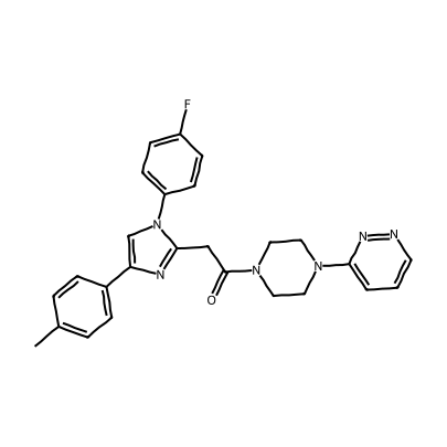 Cc1ccc(-c2cn(-c3ccc(F)cc3)c(CC(=O)N3CCN(c4cccnn4)CC3)n2)cc1